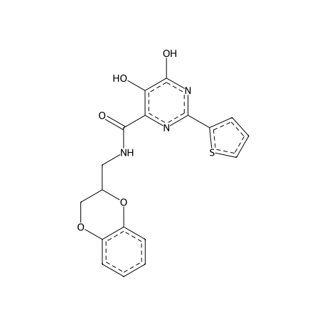 O=C(NCC1COc2ccccc2O1)c1nc(-c2cccs2)nc(O)c1O